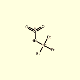 CC[N+](CC)(CC)N[SH](=O)=O